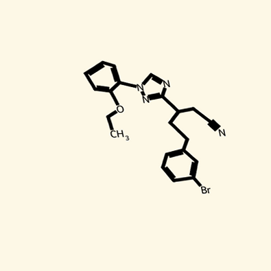 CCOc1ccccc1-n1cnc(C(CC#N)CCc2cccc(Br)c2)n1